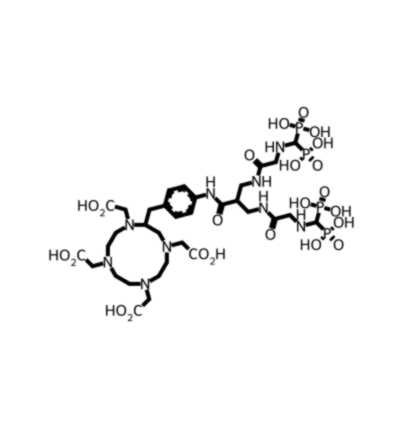 O=C(O)CN1CCN(CC(=O)O)CCN(CC(=O)O)C(Cc2ccc(NC(=O)C(CNC(=O)CNC(P(=O)(O)O)P(=O)(O)O)CNC(=O)CNC(P(=O)(O)O)P(=O)(O)O)cc2)CN(CC(=O)O)CC1